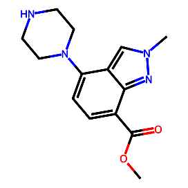 COC(=O)c1ccc(N2CCNCC2)c2cn(C)nc12